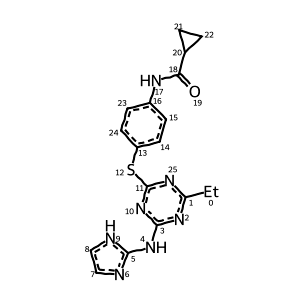 CCc1nc(Nc2ncc[nH]2)nc(Sc2ccc(NC(=O)C3CC3)cc2)n1